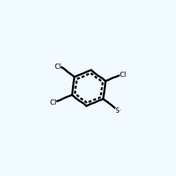 [S]c1cc(Cl)c(Cl)cc1Cl